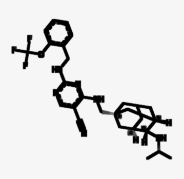 CC(C)N[C@@H]1[C@@H]2CC3C[C@H]1C[C@](CNc1nc(NCc4ccccc4OC(F)(F)F)ncc1C#N)(C3)C2